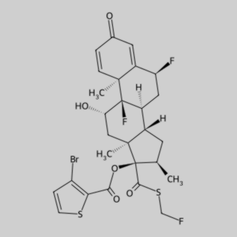 C[C@@H]1C[C@H]2[C@@H]3C[C@H](F)C4=CC(=O)C=C[C@]4(C)[C@@]3(F)[C@@H](O)C[C@]2(C)[C@@]1(OC(=O)c1sccc1Br)C(=O)SCF